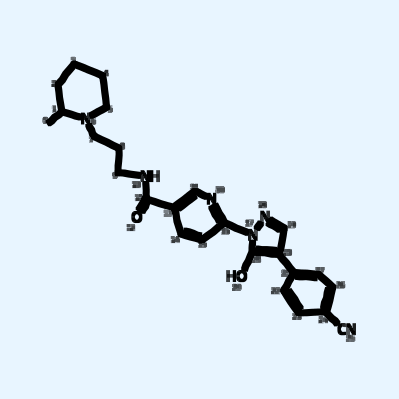 CC1CCCCN1CCCNC(=O)c1ccc(-n2ncc(-c3ccc(C#N)cc3)c2O)nc1